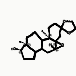 C[C@]12CCC3C(C[C@H]4O[C@]45CC4(CC[C@]35C)OCCO4)C1CC[C@@H]2O